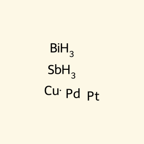 [BiH3].[Cu].[Pd].[Pt].[SbH3]